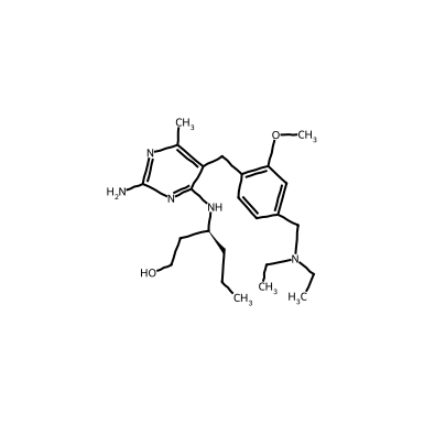 CCC[C@@H](CCO)Nc1nc(N)nc(C)c1Cc1ccc(CN(CC)CC)cc1OC